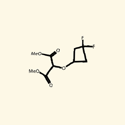 COC(=O)C(OC1CC(F)(F)C1)C(=O)OC